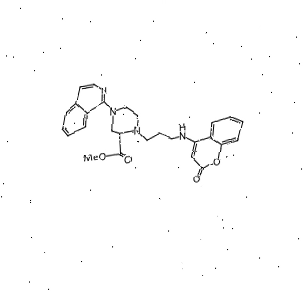 COC(=O)C1CN(c2nccc3ccccc23)CCN1CCCNc1cc(=O)oc2ccccc12